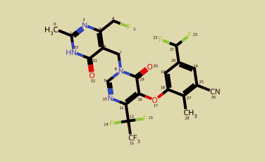 Cc1nc(CF)c(Cn2cnc(C(F)(F)C(F)(F)F)c(Oc3cc(C(F)F)cc(C#N)c3C)c2=O)c(=O)[nH]1